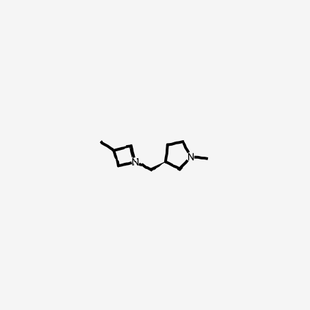 CC1CN(C[C@H]2CCN(C)C2)C1